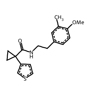 COc1ccc(CCNC(=O)C2(c3ccsc3)CC2)cc1C